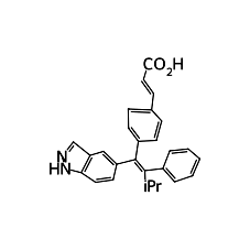 CC(C)/C(=C(/c1ccc(/C=C/C(=O)O)cc1)c1ccc2[nH]ncc2c1)c1ccccc1